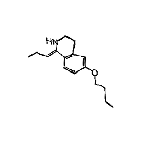 CCC=C1NCCc2cc(OCCCC)ccc21